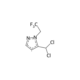 FC(F)(F)Cn1nc[c]c1C(Cl)Cl